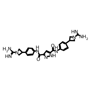 N=C(N)N1CC(c2ccc(NC(=O)c3cc(C(=O)Nc4ccc(C5CN(C(=N)N)C5)cc4)[nH]n3)cc2)C1